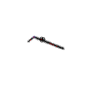 CCCCCCCC/C=C\CCCCCCCC(=O)OC(=O)CCCCCCCCCCCCCCCCCCCCCCCCC